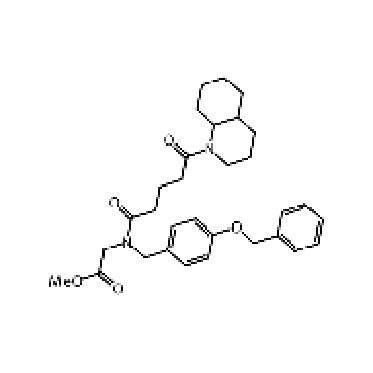 COC(=O)CN(Cc1ccc(OCc2ccccc2)cc1)C(=O)CCCC(=O)N1CCCC2CCCCC21